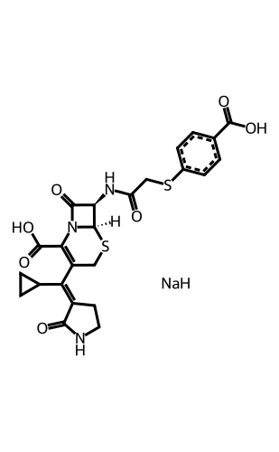 O=C(CSc1ccc(C(=O)O)cc1)N[C@@H]1C(=O)N2C(C(=O)O)=C(C(=C3CCNC3=O)C3CC3)CS[C@H]12.[NaH]